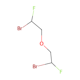 FC(Br)COCC(F)Br